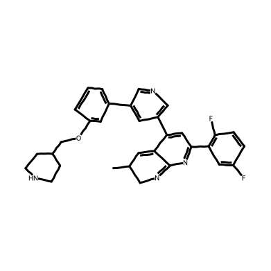 CC1C=c2c(-c3cncc(-c4cccc(OCC5CCNCC5)c4)c3)cc(-c3cc(F)ccc3F)nc2=NC1